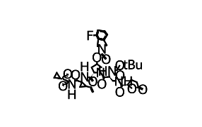 C=CC1C[C@]1(NC(=O)[C@@H]1CC(OC(=O)N2Cc3cccc(F)c3C2)CN1C(=O)[C@H](CNC(=O)[C@H]1CCC(=O)O1)NC(=O)OC(C)(C)C)C(=O)NS(=O)(=O)C1CC1